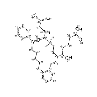 CC(C)(CSC(C=Cc1ccccc1CCCCCOc1ccccc1)C(O)CCCC(=O)O)C(=O)NCC(=O)O